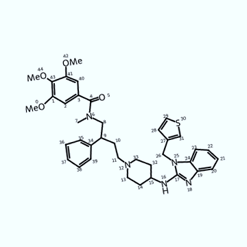 COc1cc(C(=O)N(C)CC(CCN2CCC(Nc3nc4ccccc4n3Cc3ccsc3)CC2)c2ccccc2)cc(OC)c1OC